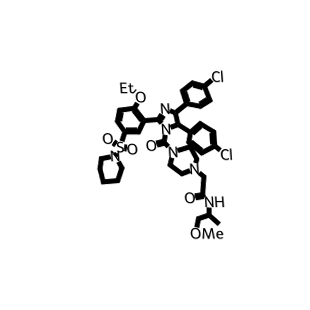 CCOc1ccc(S(=O)(=O)N2CCCCC2)cc1C1=NC(c2ccc(Cl)cc2)C(c2ccc(Cl)cc2)N1C(=O)N1CCN(CC(=O)NC(C)COC)CC1